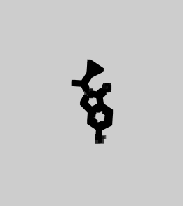 CC(C1CC1)N1Cc2cc(Br)ccc2C1=O